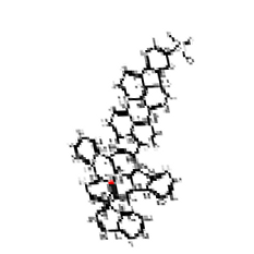 C[Si](C)(C)c1ccc2c(c1)-c1ccc3c4ccc5c6c(ccc(c7ccc-2c1c73)c46)c1c(-c2ccccc2-c2ccccc2)c2cc3c4cccc6cccc(c64)c3c3c4ccccc4c(c51)c23